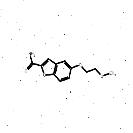 COCCOc1ccc2oc(C(N)=O)cc2c1